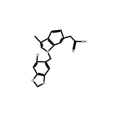 Cc1cn(Cc2cc3c(cc2Cl)OCO3)c2cc(CC(=O)O)ccc12